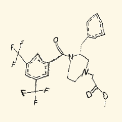 COC(=O)CN1CCN(C(=O)c2cc(C(F)(F)F)cc(C(F)(F)F)c2)[C@H](Cc2ccccc2)C1